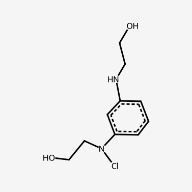 OCCNc1cccc(N(Cl)CCO)c1